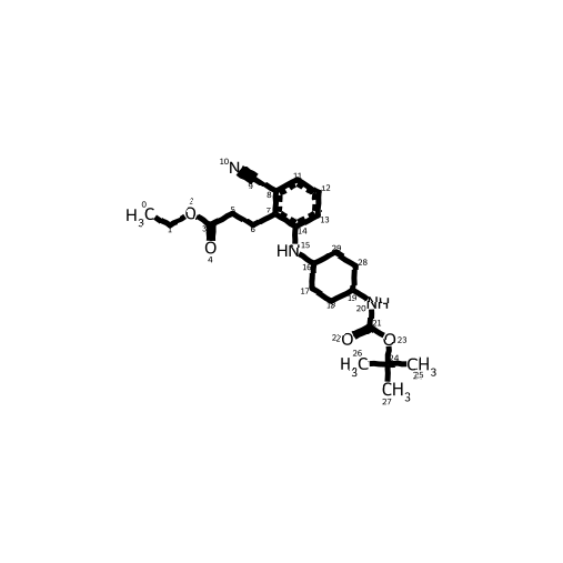 CCOC(=O)CCc1c(C#N)cccc1NC1CCC(NC(=O)OC(C)(C)C)CC1